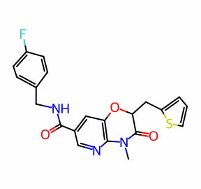 CN1C(=O)C(Cc2cccs2)Oc2cc(C(=O)NCc3ccc(F)cc3)cnc21